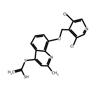 C=C(S)Sc1cc(C)nc2c(OCc3c(Cl)cncc3Cl)cccc12